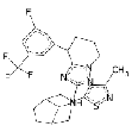 Cc1cc(N2CC3CCC(C2)C3Nc2nc3n(n2)CCCC3c2cc(F)cc(C(F)(F)F)c2)sn1